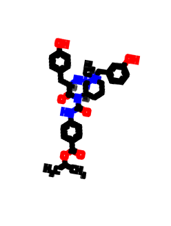 CC(C)OC(=O)c1ccc(NC(=O)N(C(=O)[C@@H](N)Cc2ccc(O)cc2)[C@H]2CCC[N+](C)(Cc3cccc(O)c3)C2)cc1